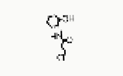 O=C(CCCl)NC[C@@H]1CCCC[C@H]1O